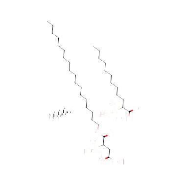 CCCCCCCCCCC(C(=O)O)S(=O)(=O)O.CCCCCCCCCCCCCCCCCCOC(=O)C(CC(=O)O)S(=O)(=O)O.[Na+].[Na+].[Na+].[Na+]